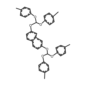 Cc1ccc(OC(Oc2ccc(C)cc2)Oc2ccc3ccc(OC(Oc4ccc(C)cc4)Oc4ccc(C)cc4)cc3c2)cc1